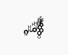 C[C@]12C[C@H](c3ccc(CNc4cccnc4)cc3)C3=C4CCC(=O)C=C4CCC3C1CC[C@@]2(O)C(F)(F)C(F)(F)F